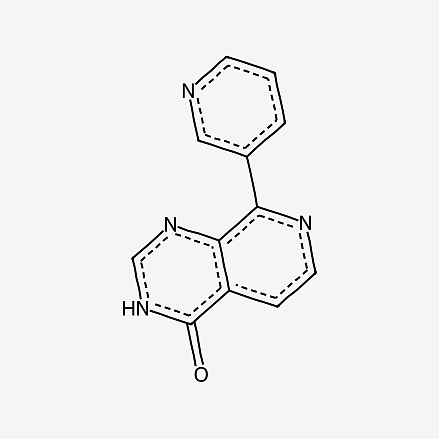 O=c1[nH]cnc2c(-c3cccnc3)nccc12